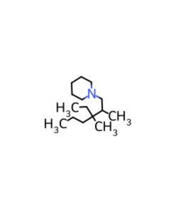 CCCC(C)(CC)C(C)CN1CCCCC1